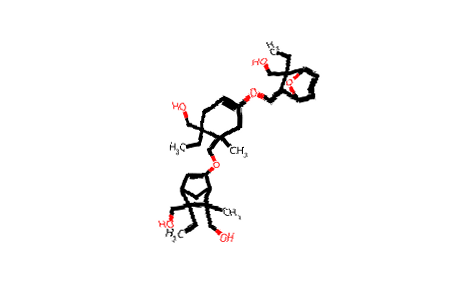 CCC1(CO)C2C=CC(O2)C1COC1=CCC(CC)(CO)C(C)(COC2=CC3CC2C(C)(CO)C3(CC)CO)C1